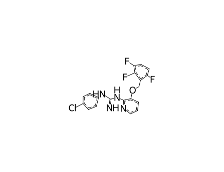 N=C(Nc1ccc(Cl)cc1)Nc1ncccc1OCc1c(F)ccc(F)c1F